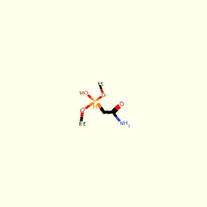 CCO[PH](O)(CC(N)=O)OCC